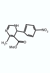 COC(=O)C1=C(C)N=CNC1c1ccc([N+](=O)[O-])cc1